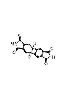 O=C1NC(=O)C2=C[C@H]3c4cc5c(cc4[C@H]3C=C12)C(=O)NC5=O